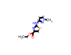 CCOC(=O)c1csc(Nc2ccn(C)n2)n1